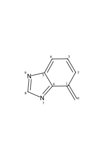 C=c1cccc2c1=NC=N2